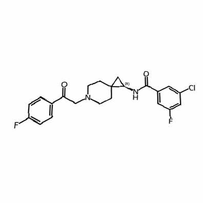 O=C(CN1CCC2(CC1)C[C@H]2NC(=O)c1cc(F)cc(Cl)c1)c1ccc(F)cc1